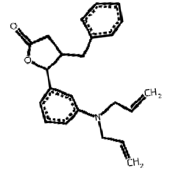 C=CCN(CC=C)c1cccc(C2OC(=O)CC2Cc2ccccc2)c1